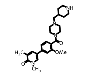 COc1cc(-c2cc(C)c(=O)n(C)c2)ccc1C(=O)N1CCN(CC2CCNCC2)CC1